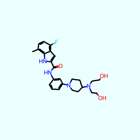 Cc1ccc(F)c2cc(C(=O)Nc3cccc(N4CCC(N(CCO)CCO)CC4)c3)[nH]c12